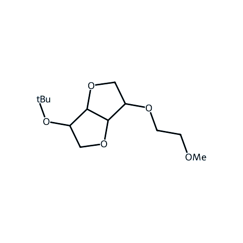 COCCOC1COC2C(OC(C)(C)C)COC12